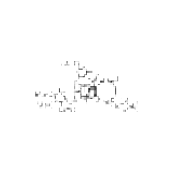 CC[C@H]1CCC[C@H](O[C@H]2CC[C@H](N(C)C)C(C)O2)[C@@H](C)C(=O)C2=C[C@H]3[C@@H]4C[C@H](O[C@@H]5OC(C)[C@H](OC)C(OC)C5OC)C[C@H]4[C@H](Nc4cc(C)cc(OC)c4)[C@@H](O)[C@H]3[C@@H]2CC(=O)O1